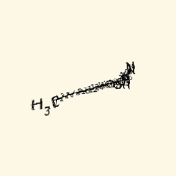 CCCCCCCCCCCCCCCCCCOCC(O)COc1ccc(C#N)cn1